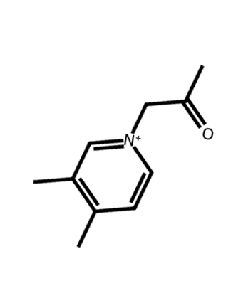 CC(=O)C[n+]1ccc(C)c(C)c1